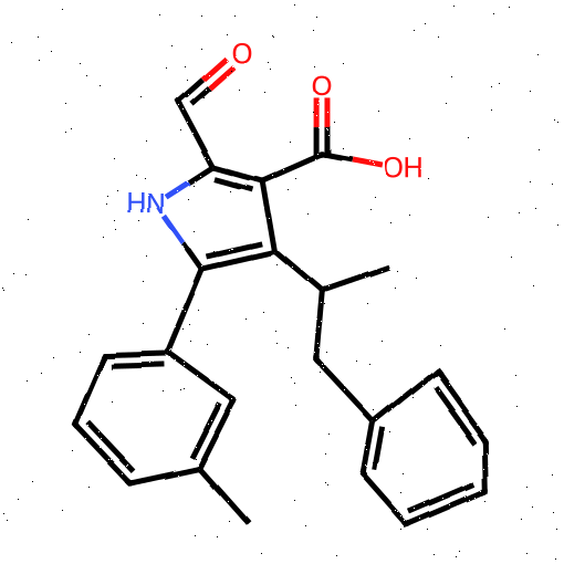 Cc1cccc(-c2[nH]c(C=O)c(C(=O)O)c2C(C)Cc2ccccc2)c1